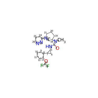 CN(C(=O)NC1CC1c1ccccc1OC(F)F)[C@@H]1CCCN(c2cccnn2)C1